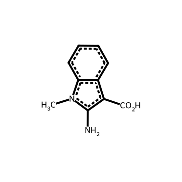 Cn1c(N)c(C(=O)O)c2ccccc21